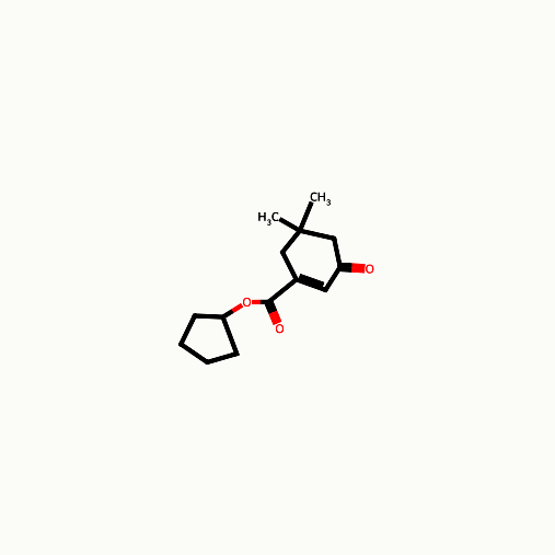 CC1(C)CC(=O)C=C(C(=O)OC2CCCC2)C1